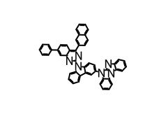 c1ccc(-c2ccc3c(-c4ccc5ccccc5c4)nc(-n4c5ccccc5c5cc(-n6c7ccccc7n7c8ccccc8nc67)ccc54)nc3c2)cc1